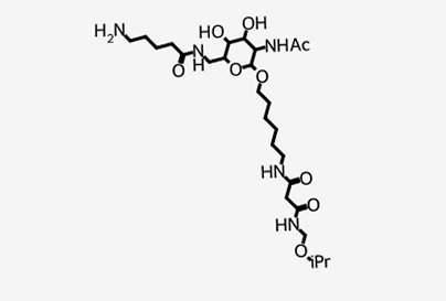 CC(=O)NC1C(OCCCCCCNC(=O)CC(=O)NCOC(C)C)OC(CNC(=O)CCCCN)C(O)C1O